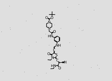 CCNC(=O)C(=C=c1sc(=C=CNc2cccc(NC(=O)CN3CCN(C(=O)OC(C)(C)C)CC3)c2)c(=O)n1CC)C#N